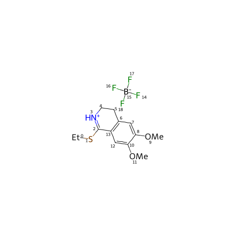 CCSC1=[NH+]CCc2cc(OC)c(OC)cc21.F[B-](F)(F)F